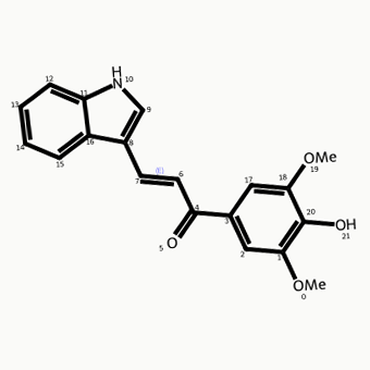 COc1cc(C(=O)/C=C/c2c[nH]c3ccccc23)cc(OC)c1O